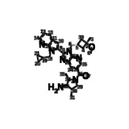 CO[C@]1(C)C[C@H](Cn2c(-c3cc4cccnc4n3CC3CC3)nc3cc(C(=O)N4C[C@@H](C)[C@@H](N)[C@H]4C)cnc32)C1